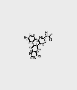 CC(=O)Nc1ncc(-c2ccc3ncnc(C)c3c2)c(-c2ccc(F)cc2)n1